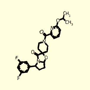 CC(C)Oc1cccc(C(=O)N2CCC3(CC2)OC2CCC(c4cc(F)cc(F)c4)N2C3=O)n1